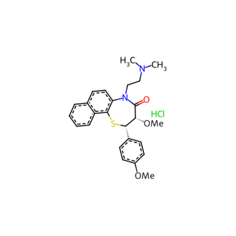 COc1ccc([C@@H]2Sc3c(ccc4ccccc34)N(CCN(C)C)C(=O)[C@@H]2OC)cc1.Cl